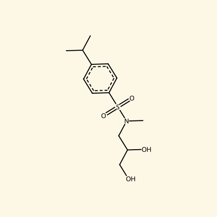 CC(C)c1ccc(S(=O)(=O)N(C)CC(O)CO)cc1